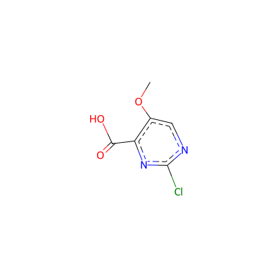 COc1cnc(Cl)nc1C(=O)O